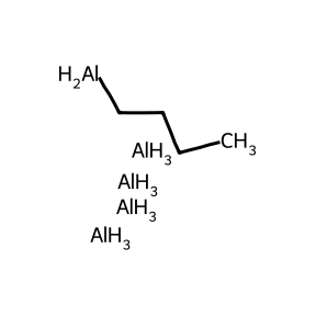 CCC[CH2][AlH2].[AlH3].[AlH3].[AlH3].[AlH3]